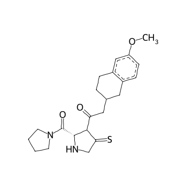 COc1ccc2c(c1)CCC(CC(=O)C1C(=S)CN[C@@H]1C(=O)N1CCCC1)C2